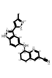 Cc1cc(-c2n[nH]c3ccc(N[C@@H]4CCCc5cc(C#N)cnc54)cc23)sn1